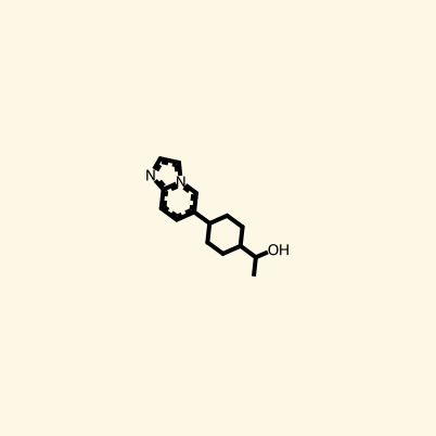 CC(O)C1CCC(c2ccc3nccn3c2)CC1